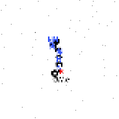 COC1CCCC(C(=O)N2CCC(N3C[C](n4cc(-c5ncnc6[nH]ccc56)cn4)C3)CC2)C1